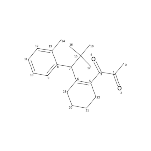 CC(=O)C(=O)C1=C(C(c2ccccc2C)C(C)(C)C)CCCC1